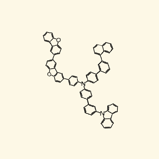 c1cc(-c2ccc(N(c3ccc(-c4cccc(-n5c6ccccc6c6ccccc65)c4)cc3)c3ccc(-c4ccc5oc6ccc(-c7ccc8oc9ccccc9c8c7)cc6c5c4)cc3)cc2)cc(-c2cccc3ccccc23)c1